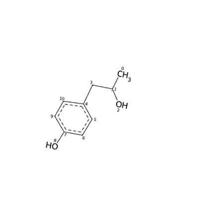 C[C](O)Cc1ccc(O)cc1